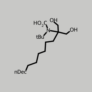 CCCCCCCCCCCCCCCCC(CO)(CO)N(C(=O)O)C(C)(C)C